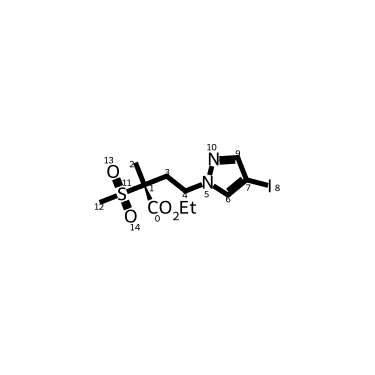 CCOC(=O)[C@@](C)(CCn1cc(I)cn1)S(C)(=O)=O